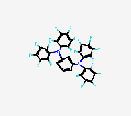 Fc1c(F)c(F)c(N(c2cccc(N(c3c(F)c(F)c(F)c(F)c3F)c3c(F)c(F)c(F)c(F)c3F)c2)c2c(F)c(F)c(F)c(F)c2F)c(F)c1F